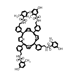 Cc1ccc(O)cc1S(=O)(=O)NCc1cccc(-c2c3nc(c(-c4cccc(CNS(=O)(=O)c5cc(O)ccc5C)c4)c4ccc([nH]4)c(-c4cccc(CNS(=O)(=O)c5cc(O)ccc5C)c4)c4nc(c(-c5cccc(CNS(=O)(=O)c6cc(O)ccc6C)c5)c5ccc2[nH]5)C=C4)C=C3)c1